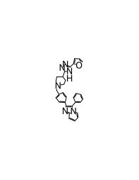 c1ccc(-c2c(-c3ccc(CN4CCC(c5nnc(-c6ccco6)[nH]5)CC4)cc3)nc3ccccn23)cc1